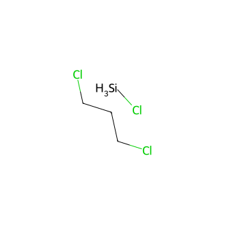 ClCCCCl.[SiH3]Cl